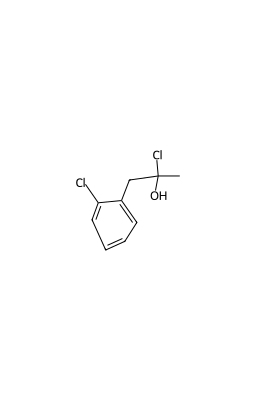 CC(O)(Cl)Cc1ccccc1Cl